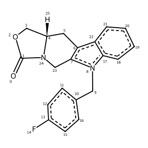 O=C1OC[C@@H]2Cc3c(n(Cc4ccc(F)cc4)c4ccccc34)CN12